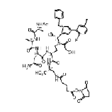 CC(=O)N[C@H](C)C(=O)N[C@H](C)C(=O)N[C@@H](CC(N)=O)C(=O)N[C@@H](CCN(C(=O)CO)[C@@H](c1cc(-c2cc(F)ccc2F)cn1Cc1ccccc1)C(C)(C)C)C(=O)N[C@H](CNC(=O)CCCC(=O)ON1C(=O)CCC1=O)C(=O)O